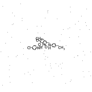 CCc1ccc(NCc2cc3ccc(OC)cc3n(CC(=O)Nc3ccc(Cl)cc3)c2=O)cc1